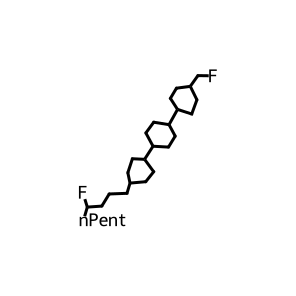 CCCCCC(F)CCCC1CCC(C2CCC(C3CCC(CF)CC3)CC2)CC1